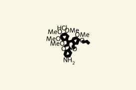 C=CCOc1cc2c(=O)n(-c3ccc(N)cc3)c(C(=O)OC)c(-c3cc(OC)c(OC)c(OC)c3)c2cc1OC.Cl